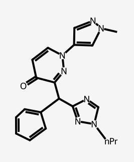 CCCn1cnc(C(c2ccccc2)c2nn(-c3cnn(C)c3)ccc2=O)n1